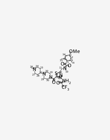 COc1cc(C)c(S(=O)(=O)N(C)Cc2nnc(C(=O)N3CCN(C4CCN(C)CC4)CC3)s2)c(C)c1.NC(=O)C(F)(F)F